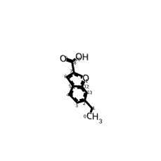 CCc1ccc2cc(C(=O)O)oc2c1